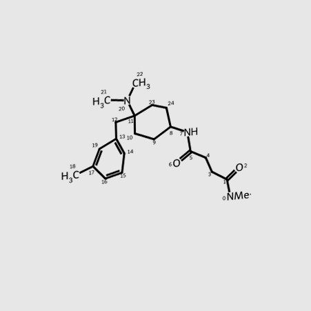 C[N]C(=O)CCC(=O)NC1CCC(Cc2cccc(C)c2)(N(C)C)CC1